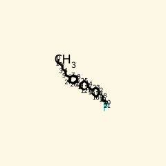 CCCCCCc1ccc([C@H]2CC[C@H]([C@H]3CC[C@H](CC=CF)CC3)CC2)cc1